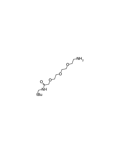 CC(C)(C)CNC(=O)COCCOCCOCCN